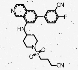 N#CCCCS(=O)(=O)N1CCC(Nc2cc(-c3ccc(F)c(C#N)c3)cc3ccncc23)CC1